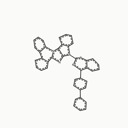 c1ccc(-c2ccc(-c3nc(-n4c5ccccc5c5c4nc4c6ccccc6c6ccccc6n45)nc4ccccc34)cc2)cc1